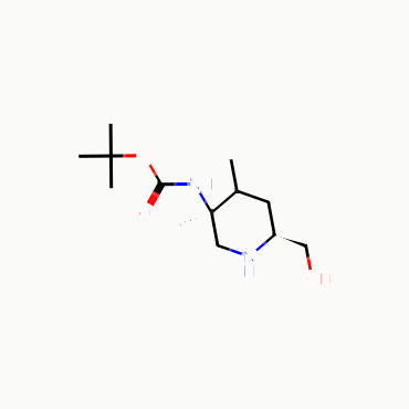 CC1C[C@@H](CO)NC[C@@]1(C)NC(=O)OC(C)(C)C